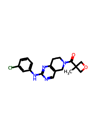 CC1(C(=O)N2CCc3nc(Nc4cccc(Cl)c4)ncc3C2)COC1